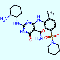 Cc1ccc(S(=O)(=O)N2CCCCC2)cc1Nc1nc(N[C@H]2CCCC[C@@H]2N)[nH]c(=O)c1C(N)=O